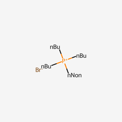 CCCCCCCCC[P+](CCCC)(CCCC)CCCC.[Br-]